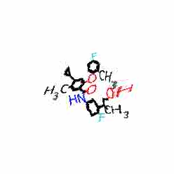 Cc1cc(F)ccc1Oc1cc(C2CC2)c(C)cc1C(=O)Nc1ccc(F)c(C(C)CCO)c1